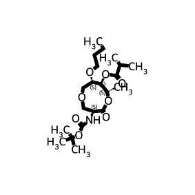 CCCCO[C@H]1COC[C@H](NC(=O)OC(C)(C)C)C(=O)O[C@@H](C)[C@@H]1OC(=O)C(C)C